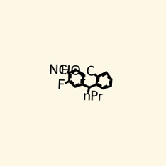 CCCC(c1ccc(C#N)c(F)c1)c1ccccc1C(=O)O